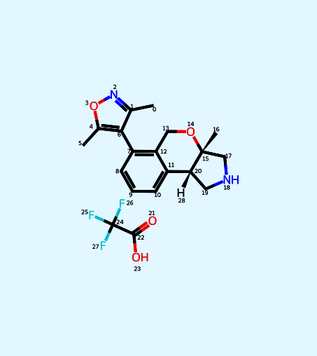 Cc1noc(C)c1-c1cccc2c1CO[C@]1(C)CNC[C@H]21.O=C(O)C(F)(F)F